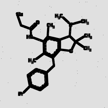 Cc1c(Cc2ccc(C(C)C)cc2)c2c(c(C)c1NC(=O)CC(C)(C)C)C(N(C)C)C(C)(C)O2